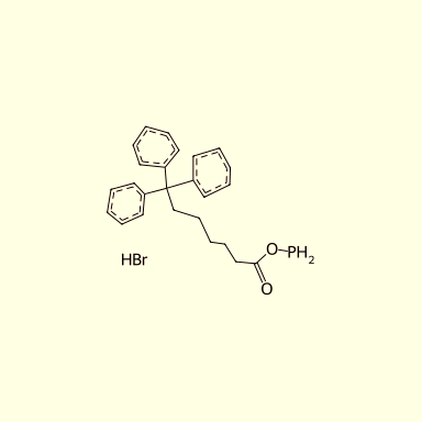 Br.O=C(CCCCCC(c1ccccc1)(c1ccccc1)c1ccccc1)OP